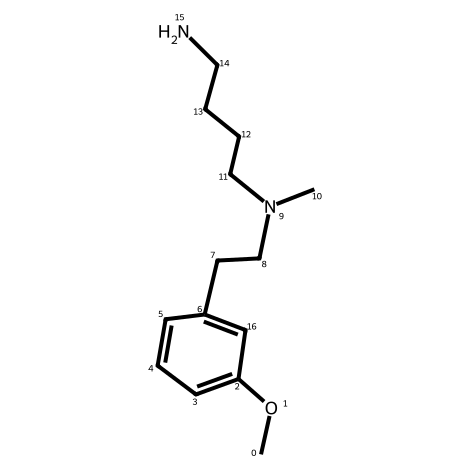 COc1cccc(CCN(C)CCCCN)c1